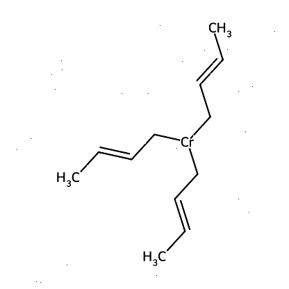 C/C=C/[CH2][Cr]([CH2]/C=C/C)[CH2]/C=C/C